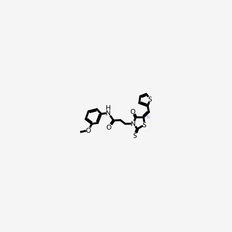 COc1cccc(NC(=O)CCN2C(=O)/C(=C\c3cccs3)SC2=S)c1